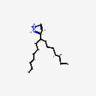 CCCCCCCC(CCCCCCC)c1cc[nH]n1